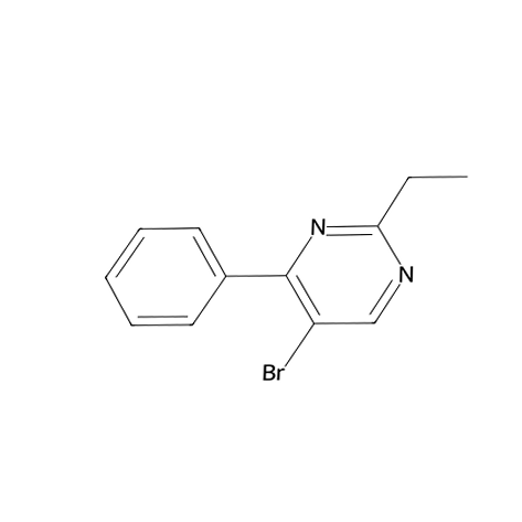 CCc1ncc(Br)c(-c2ccccc2)n1